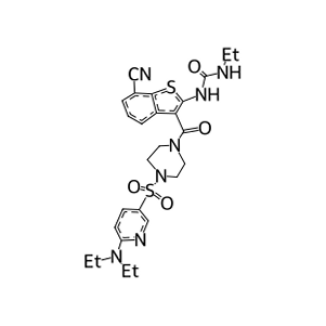 CCNC(=O)Nc1sc2c(C#N)cccc2c1C(=O)N1CCN(S(=O)(=O)c2ccc(N(CC)CC)nc2)CC1